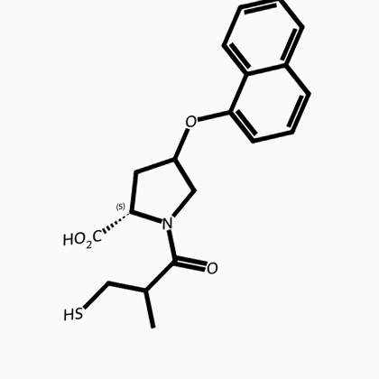 CC(CS)C(=O)N1CC(Oc2cccc3ccccc23)C[C@H]1C(=O)O